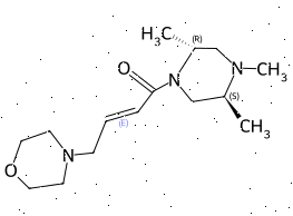 C[C@@H]1CN(C)[C@@H](C)CN1C(=O)/C=C/CN1CCOCC1